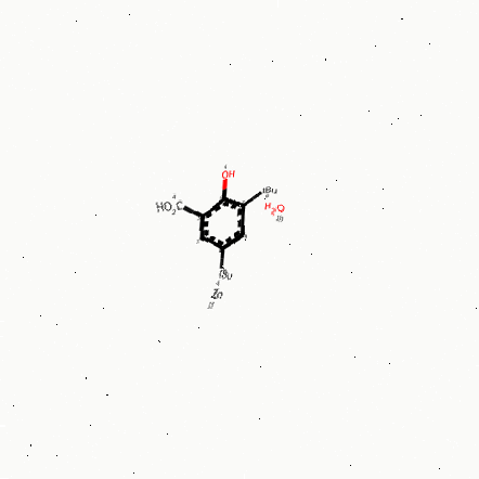 CC(C)(C)c1cc(C(=O)O)c(O)c(C(C)(C)C)c1.O.[Zn]